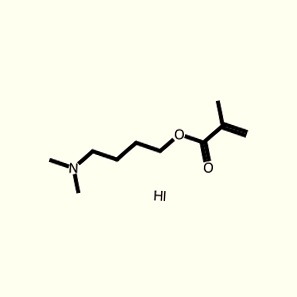 C=C(C)C(=O)OCCCCN(C)C.I